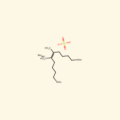 CCCCCCCCCCCCCCC(C(=O)O)=C(CCCCCCCCCCCCCC)C(=O)O.O=S(=O)([O-])[O-].[Na+].[Na+]